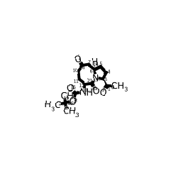 CC(=O)[C@@H]1CC[C@@H]2CC(=O)CCC(NC(=O)OC(C)(C)C)C(=O)N21